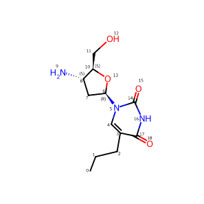 CCCc1cn([C@H]2C[C@H](N)[C@@H](CO)O2)c(=O)[nH]c1=O